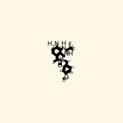 CCc1ccc(N)c(NCC(F)F)c1C(=N)[SH](Cc1ccc(OC)cc1)N=O